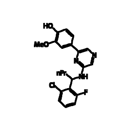 CCCC(Nc1cncc(-c2ccc(O)c(OC)c2)n1)c1c(F)cccc1Cl